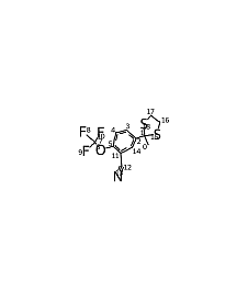 CC1(c2ccc(OC(F)(F)F)c(C#N)c2)SCCS1